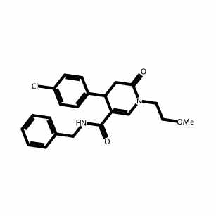 COCCN1C=C(C(=O)NCc2ccccc2)C(c2ccc(Cl)cc2)CC1=O